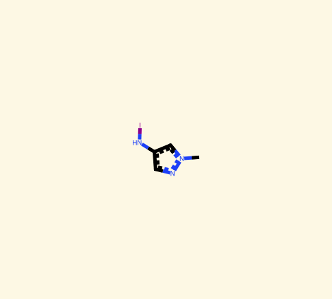 Cn1cc(NI)cn1